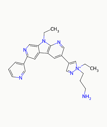 CCn1c2cnc(-c3cccnc3)cc2c2cc(C3=C[N+](CC)(CCCN)N=C3)cnc21